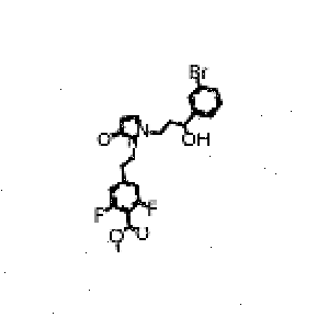 COC(=O)c1c(F)cc(CCn2c(=O)ccn2CCC(O)c2cccc(Br)c2)cc1F